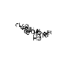 CCc1cc(-c2cnc(N3CCC(C(=O)NS(=O)(=O)c4ccc(Cl)s4)CC3)c(Cl)c2CO)no1